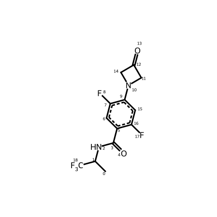 CC(NC(=O)c1cc(F)c(N2CC(=O)C2)cc1F)C(F)(F)F